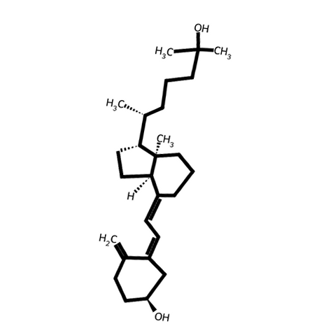 C=C1CC[C@H](O)C/C1=C/C=C1CCC[C@@]2(C)[C@@H]1CC[C@@H]2[C@H](C)CCCC(C)(C)O